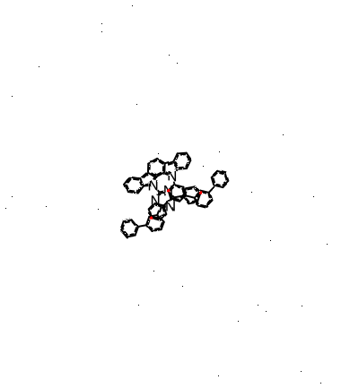 c1ccc(-c2cccc(-c3cc(-c4ccccc4)cc(-n4c5ccccc5c5ccc6c7ccccc7n(-c7nc(-c8ccccc8)nc(-c8cccc(-c9ccccc9)c8)n7)c6c54)c3)c2)cc1